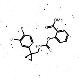 COC(=O)c1ccccc1OC(=O)NCC1(c2ccc(F)c(Br)c2)CC1